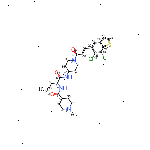 CC(=O)N1CCC(C(=O)N[C@@H](CC(=O)O)C(=O)NC2CCN(C(=O)/C=C/c3cc4ccsc4c(Cl)c3Cl)CC2)CC1